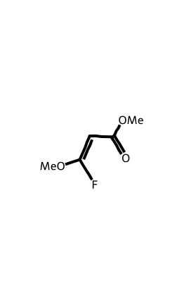 COC(=O)C=C(F)OC